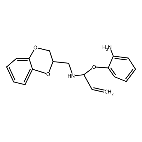 C=CC(NCC1COc2ccccc2O1)Oc1ccccc1N